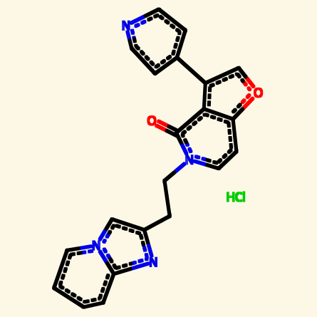 Cl.O=c1c2c(-c3ccncc3)coc2ccn1CCc1cn2ccccc2n1